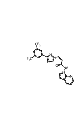 O=C(/C=C\n1cnc(-c2cc(C(F)(F)F)cc(C(F)(F)F)c2)n1)Nn1ccc2cccnc21